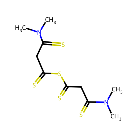 CN(C)C(=S)CC(=S)SC(=S)CC(=S)N(C)C